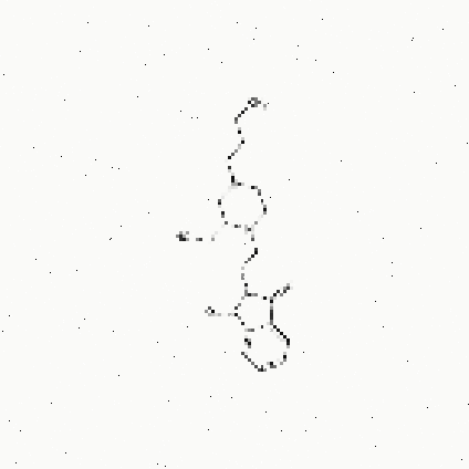 CCCCN1CCN(CCN2C(=O)c3ccccc3C2=O)[C@H](CO)C1